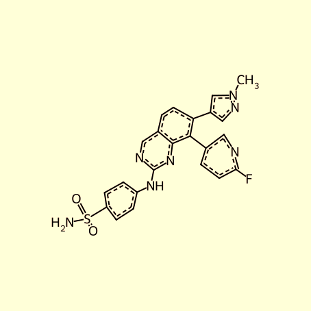 Cn1cc(-c2ccc3cnc(Nc4ccc(S(N)(=O)=O)cc4)nc3c2-c2ccc(F)nc2)cn1